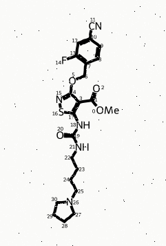 COC(=O)c1c(OCc2ccc(C#N)cc2F)nsc1NC(=O)NCCCCN1CCCC1